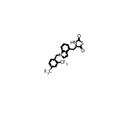 O=C1NC(Cc2cccc3c2ccn3Cc2ccc(C(F)(F)F)cc2C(F)(F)F)C(=O)S1